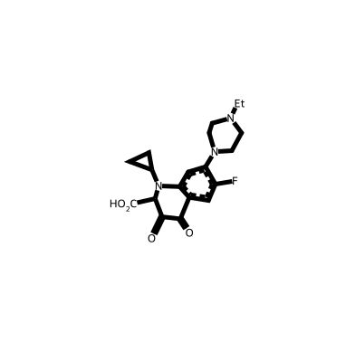 CCN1CCN(c2cc3c(cc2F)C(=O)C(=O)C(C(=O)O)N3C2CC2)CC1